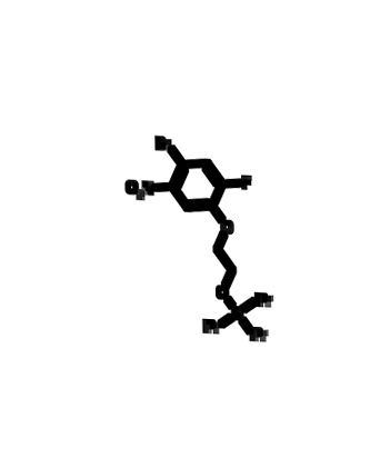 CC(C)[Si](OCCOc1cc([N+](=O)[O-])c(Br)cc1F)(C(C)C)C(C)C